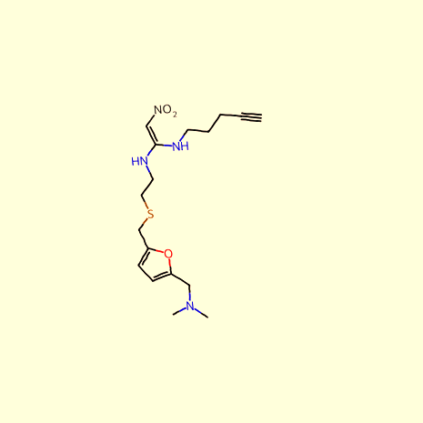 C#CCCCNC(=C[N+](=O)[O-])NCCSCc1ccc(CN(C)C)o1